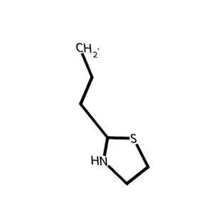 [CH2]CCC1NCCS1